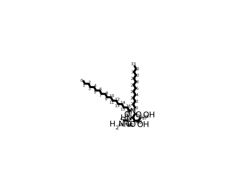 CCCCCCCCCCCCCCCCCC(=O)N(CCCCCCCCCCCCCC)[C@@H]1O[C@H](CO)[C@@H](O)[C@H](O)[C@H]1NC(=O)CN